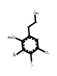 COc1c(CCO)cc(Cl)c(F)c1Br